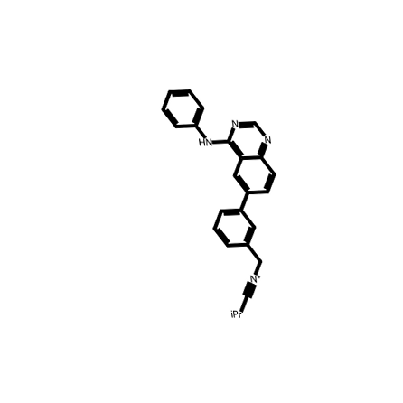 [CH2]C(C)C#[N+]Cc1cccc(-c2ccc3ncnc(Nc4ccccc4)c3c2)c1